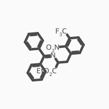 CCOC(=O)C(Cc1cccc(C(F)(F)F)c1[N+](=O)[O-])N=C(c1ccccc1)c1ccccc1